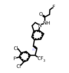 O=C(CCF)NN1CCc2cc(/C=C/C(c3cc(Cl)c(F)c(Cl)c3)C(F)(F)F)ccc21